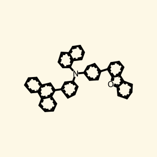 c1cc(-c2cc3ccccc3c3ccccc23)cc(N(c2ccc(-c3cccc4c3oc3ccccc34)cc2)c2cccc3ccccc23)c1